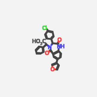 O=C(O)C(c1ccccc1)N1C(=O)c2cc(-c3ccoc3)ccc2NC(=O)C1c1ccc(Cl)cc1